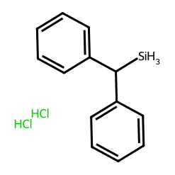 Cl.Cl.[SiH3]C(c1ccccc1)c1ccccc1